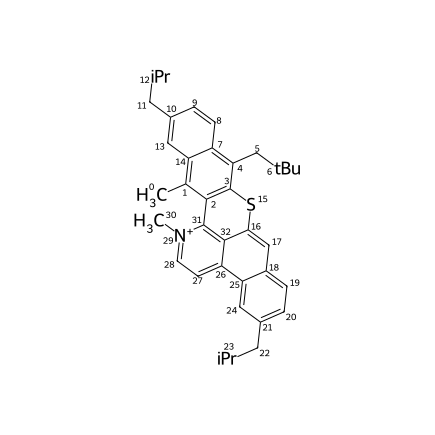 Cc1c2c(c(CC(C)(C)C)c3ccc(CC(C)C)cc13)Sc1cc3ccc(CC(C)C)cc3c3cc[n+](C)c-2c13